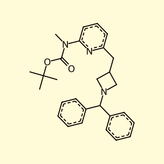 CN(C(=O)OC(C)(C)C)c1cccc(CC2CN(C(c3ccccc3)c3ccccc3)C2)n1